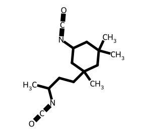 CC(CCC1(C)CC(N=C=O)CC(C)(C)C1)N=C=O